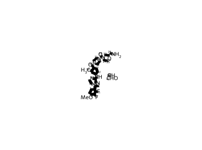 COc1ccc(-c2cnc3c(Nc4ccc(C(=O)N5CCN(C(=O)N6CCO[C@@H](CN)C6)CC5)c(C)c4)nccn23)c(F)c1F.O=CO